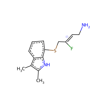 Cc1[nH]c2c(SC/C(F)=C/CN)cccc2c1C